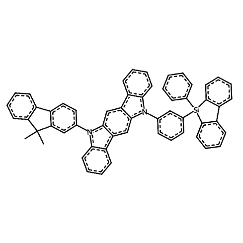 CC1(C)c2ccccc2-c2ccc(-n3c4ccccc4c4cc5c(cc43)c3ccccc3n5-c3cccc([Si]4(c5ccccc5)c5ccccc5-c5ccccc54)c3)cc21